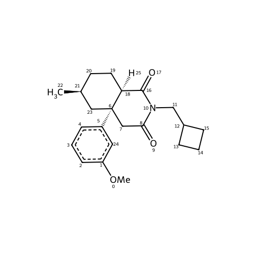 COc1cccc([C@@]23CC(=O)N(CC4CCC4)C(=O)[C@@H]2CC[C@H](C)C3)c1